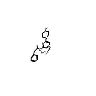 CC(=O)O.CC(Cc1ccccc1)Oc1cncc(N2CCNCC2)n1